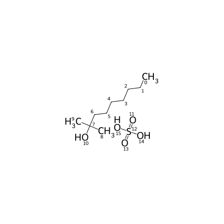 CCCCCCCC(C)(C)O.O=S(=O)(O)O